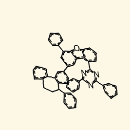 c1ccc(-c2nc(-c3ccccc3)nc(-c3cccc4oc5c(-c6ccccc6)cc(-c6ccc7c(c6)-c6ccccc6CCC7c6ccccc6)cc5c34)n2)cc1